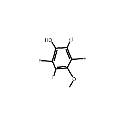 COc1c(F)c(F)c(O)c(Cl)c1F